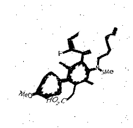 C=CCCCN(SC)c1c(C)c(CC(=O)O)c(-c2ccc(OC)cc2)c(C)c1C(=C)/C(F)=C\C